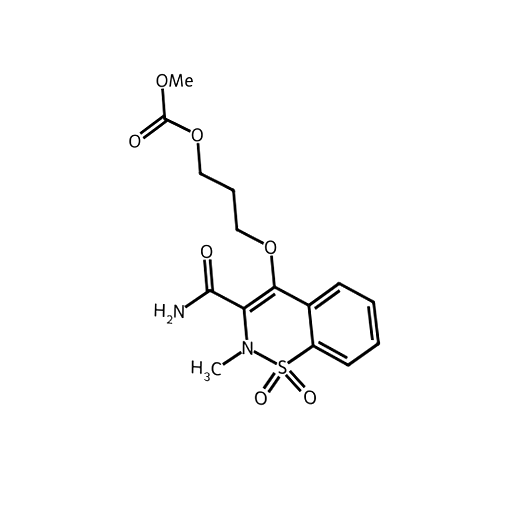 COC(=O)OCCCOC1=C(C(N)=O)N(C)S(=O)(=O)c2ccccc21